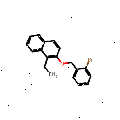 CCc1c(OCc2ccccc2Br)ccc2ccccc12